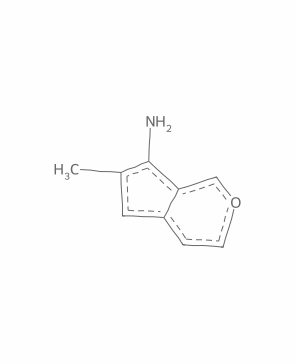 Cc1cc2ccocc-2c1N